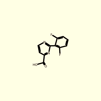 O=C(O)c1ccnc(-c2c(F)cccc2F)n1